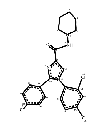 O=C(NN1CCCCC1)c1cn(-c2ccc(Cl)cc2Cl)c(-c2ccc(Cl)cc2)n1